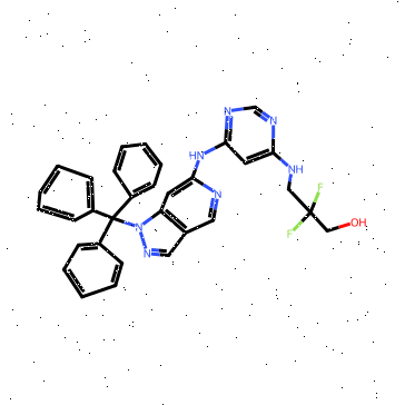 OCC(F)(F)CNc1cc(Nc2cc3c(cn2)cnn3C(c2ccccc2)(c2ccccc2)c2ccccc2)ncn1